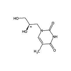 Cc1cn(C[C@@H](O)CO)c(=O)[nH]c1=O